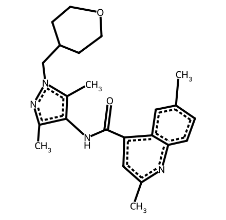 Cc1ccc2nc(C)cc(C(=O)Nc3c(C)nn(CC4CCOCC4)c3C)c2c1